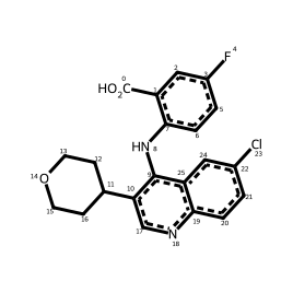 O=C(O)c1cc(F)ccc1Nc1c(C2CCOCC2)cnc2ccc(Cl)cc12